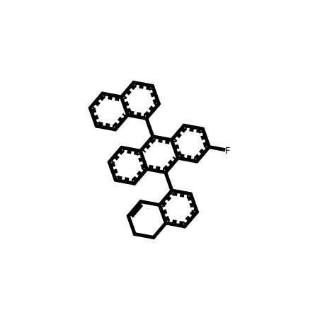 Fc1ccc2c(-c3cccc4ccccc34)c3ccccc3c(-c3cccc4c3C=CCC4)c2c1